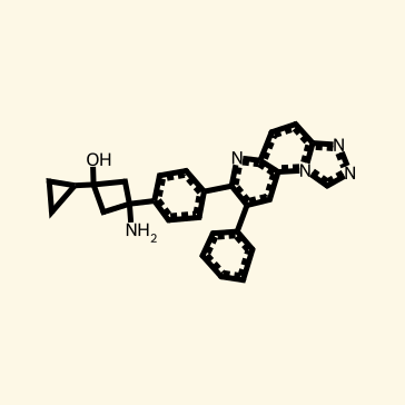 NC1(c2ccc(-c3nc4ccc5nncn5c4cc3-c3ccccc3)cc2)CC(O)(C2CC2)C1